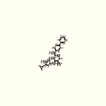 BrC1=C(Nc2cc(C3CC3)[nH]n2)NC(Nc2ccc(-c3ccccc3)cc2)N=C1